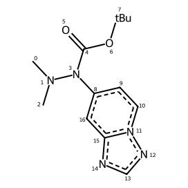 CN(C)N(C(=O)OC(C)(C)C)c1ccn2ncnc2c1